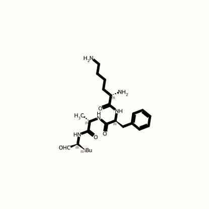 CC[C@H](C)[C@@H](C=O)NC(=O)[C@H](C)NC(=O)[C@H](Cc1ccccc1)NC(=O)[C@@H](N)CCCCN